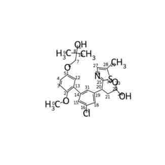 COc1ccc(OCC(C)(C)O)cc1-c1cc(Cl)cc(C(CC(=O)O)c2ncc(C)s2)c1